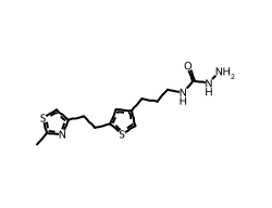 Cc1nc(CCc2cc(CCCNC(=O)NN)cs2)cs1